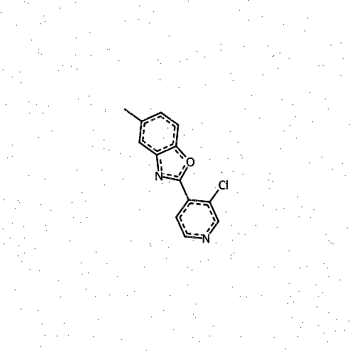 Cc1ccc2oc(-c3ccncc3Cl)nc2c1